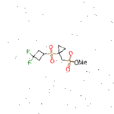 COS(=O)(=O)CC1(S(=O)(=O)C2CC(F)(F)C2)CC1